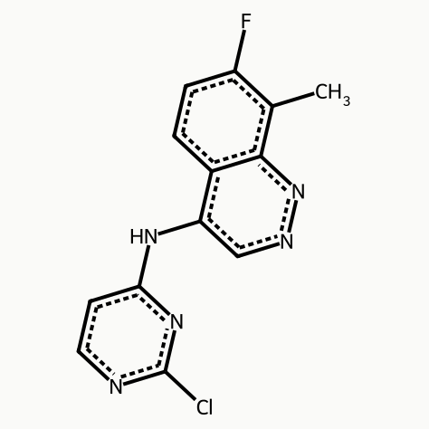 Cc1c(F)ccc2c(Nc3ccnc(Cl)n3)cnnc12